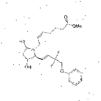 COC(=O)CCC/C=C\C[C@H]1C(O)CC(O)[C@@H]1/C=C/C(F)(F)COc1ccccc1